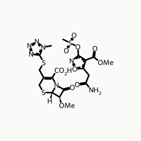 COC(=O)c1c(OS(C)(=O)=O)noc1CC(N)=O.CO[C@@H]1C(=O)N2C(C(=O)O)=C(CSc3nnnn3C)CS[C@@H]12